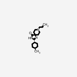 C=CCN1CCC2(CC1)N=C([C@H]1CC[C@H](C)CC1)NC2=O